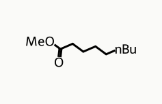 [CH2]CCCCCCCC(=O)OC